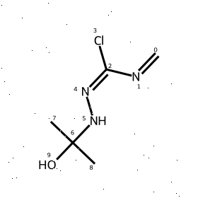 C=N/C(Cl)=N\NC(C)(C)O